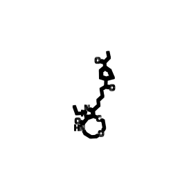 CCC(=O)c1ccc(C(=O)CCCCc2nn(CC)c3c2CCCOCCCNC3=O)cc1